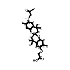 CC(=O)COc1cc2c(cc1C)OC1(CC2(C)C)CC(C)(C)c2cc(OCC(=O)O)c(C)cc2O1